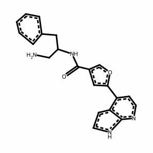 NCC(Cc1ccccc1)NC(=O)c1coc(-c2ccnc3[nH]ccc23)c1